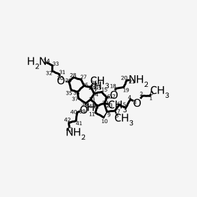 CCCOCCC[C@@H](C)[C@H]1CC[C@H]2C3[C@H](C[C@H](OCCCN)C12C)C(C)C1CC[C@@H](OCCCN)CC1C[C@H]3OCCCN